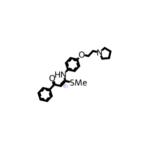 CS/C(=C/C(=O)c1ccccc1)Nc1ccc(OCCN2CCCC2)cc1